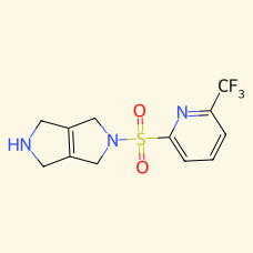 O=S(=O)(c1cccc(C(F)(F)F)n1)N1CC2=C(CNC2)C1